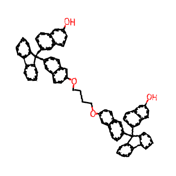 Oc1ccc2cc(C3(c4ccc5cc(OCCCCOc6ccc7cc(C8(c9ccc%10cc(O)ccc%10c9)c9ccccc9-c9ccccc98)ccc7c6)ccc5c4)c4ccccc4-c4ccccc43)ccc2c1